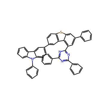 c1ccc(-c2cc(-c3nc(-c4ccccc4)nc(-c4ccccc4)n3)c3c(c2)sc2ccc(-c4ccc5c(c4)c4ccccc4n5-c4ccccc4)cc23)cc1